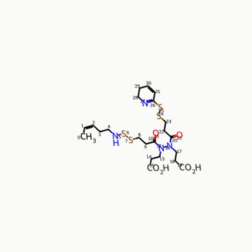 C/C=C\CCNSSCCC(=O)N(CCC(=O)O)N(CCC(=O)O)C(=O)CCSSC1=NCCC=C1